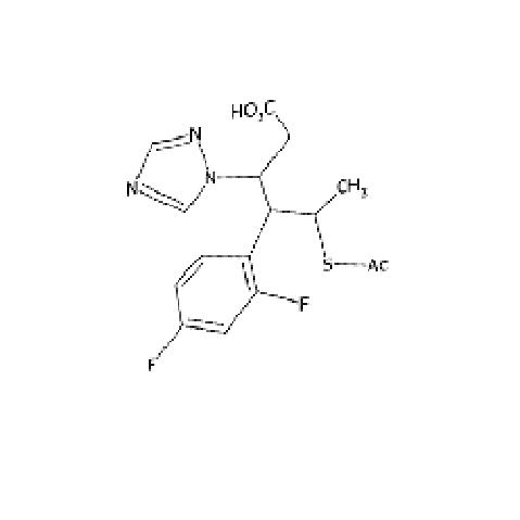 CC(=O)SC(C)C(c1ccc(F)cc1F)C(CC(=O)O)n1cncn1